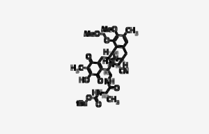 COCOc1c(OC)c(C)cc2c1[C@@H]1C3CC4=C(C(=O)C(O)=C(C)C4=O)[C@H](CNC(=O)[C@H](C)NC(=O)OC(C)(C)C)N3[C@@H](C#N)[C@H](C2)N1C